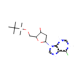 CC(C)(C)[Si](C)(C)OCC1OC(n2cnc3c(Cl)ncnc32)CC1O